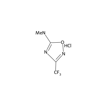 CNc1nc(C(F)(F)F)no1.Cl